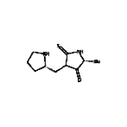 CC(C)(C)[C@H]1NC(=S)C(C[C@@H]2CCCN2)C1=O